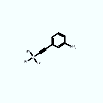 CC(C)S(C#Cc1cccc(N)c1)(C(C)C)C(C)C